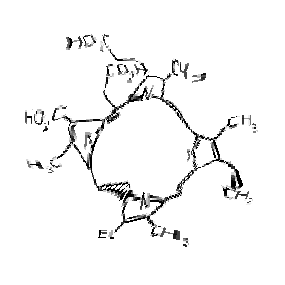 C=CC1=C(C)C2=NC1=CC1=NC(=CC3=NC(=C(CC(=O)O)C4=NC(=C2)[C@H](C)[C@H]4CCC(=O)O)C(C(=O)O)=C3C)C(CC)=C1C